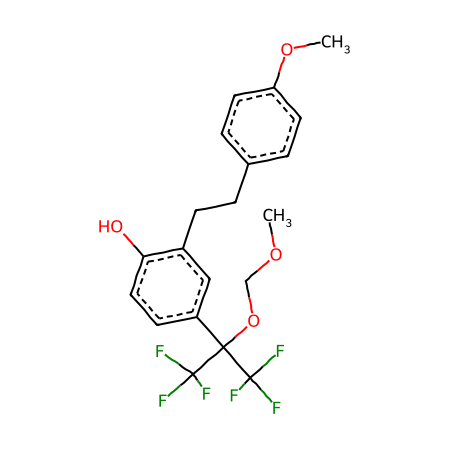 COCOC(c1ccc(O)c(CCc2ccc(OC)cc2)c1)(C(F)(F)F)C(F)(F)F